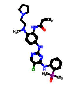 C=CC(=O)Nc1cc(Nc2ncc(Cl)c(Nc3ccccc3P(C)(C)=O)n2)ccc1N(C)CCN1CCCC1